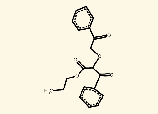 CCCOC(=O)C(OCC(=O)c1ccccc1)C(=O)c1ccccc1